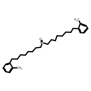 Cc1ccccc1CCCCCCC[CH2][Sn](=[O])[CH2]CCCCCCCc1ccccc1C